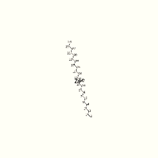 CCCCCCCCCCCC[Se]CCCCCCCCCCCC.[Zn]